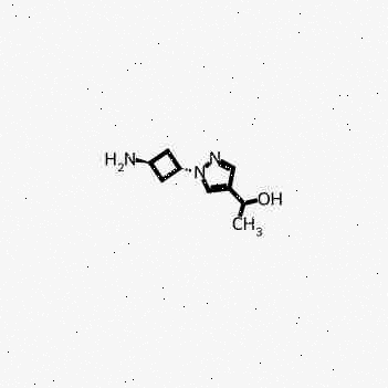 CC(O)c1cnn([C@H]2C[C@H](N)C2)c1